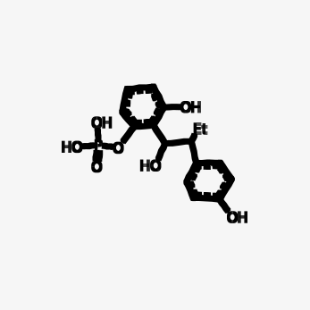 CCC(c1ccc(O)cc1)C(O)c1c(O)cccc1OP(=O)(O)O